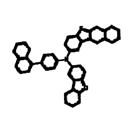 c1ccc2cc3c(cc2c1)sc1ccc(N(c2ccc(-c4cccc5ccccc45)cc2)c2ccc4oc5ccccc5c4c2)cc13